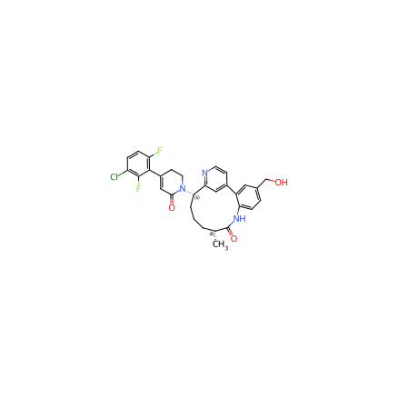 C[C@@H]1CCC[C@H](N2CCC(c3c(F)ccc(Cl)c3F)=CC2=O)c2cc(ccn2)-c2cc(CO)ccc2NC1=O